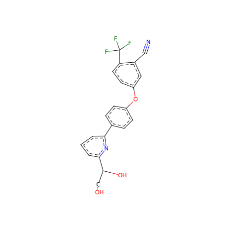 N#Cc1cc(Oc2ccc(-c3cccc(C(O)CO)n3)cc2)ccc1C(F)(F)F